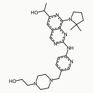 CC(O)c1cc2cnc(Nc3ccc(CN4CCN(CCO)CC4)cn3)nc2c(N2CCCC2(C)C)n1